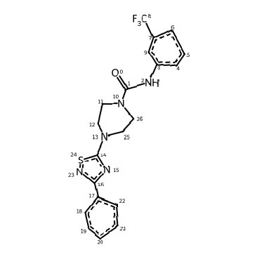 O=C(Nc1cccc(C(F)(F)F)c1)N1CCN(c2nc(-c3ccccc3)ns2)CC1